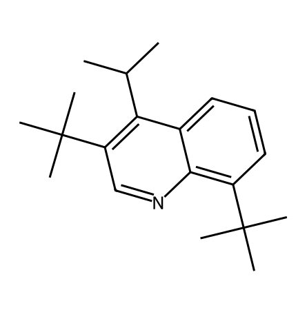 CC(C)c1c(C(C)(C)C)cnc2c(C(C)(C)C)cccc12